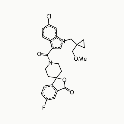 COCC1(Cn2cc(C(=O)N3CCC4(CC3)OC(=O)c3cc(F)ccc34)c3ccc(Cl)cc32)CC1